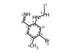 Cc1cc(C=N)c(NPI)cc1Br